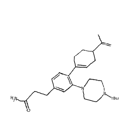 C=C(C)C1CC=C(c2ccc(CCC(N)=O)cc2N2CCN(CCCC)CC2)CC1